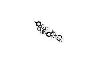 Cc1ccc(OCC(=O)Nc2ccc3nc(N4CCCN(C)CC4)nc(C)c3c2)c(Cl)c1